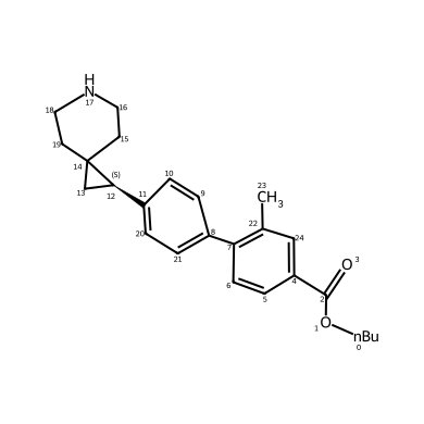 CCCCOC(=O)c1ccc(-c2ccc([C@H]3CC34CCNCC4)cc2)c(C)c1